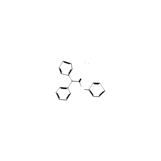 O=C(Oc1ccccc1)C(c1ccccc1)c1ccccc1.[PbH2]